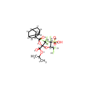 CC(C)OC(=O)C(OC(=O)C12CC3CC(CC(C3)C1)C2)(OC(C(F)F)C(F)(F)S(=O)(=O)O)C(F)(F)F